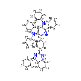 c1ccc(-c2nc(-c3ccc(-c4nc5c6ccccc6n(-c6ccccc6)c5c5c6ccccc6n(-c6ccccc6)c45)cc3)nc3ccccc23)cc1